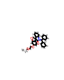 COCCOc1ccc2c(c1)OCC21C(=O)N(C(c2ccccc2)c2ccccc2)c2ccccc21